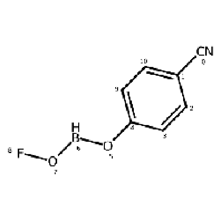 N#Cc1ccc(OBOF)cc1